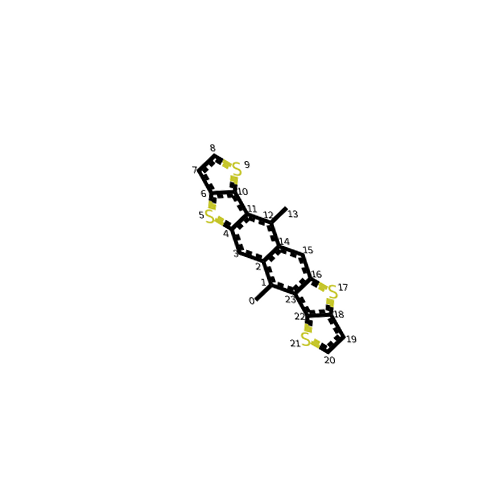 Cc1c2cc3sc4ccsc4c3c(C)c2cc2sc3ccsc3c12